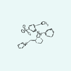 C(/C[n+]1ccccc1)=C1/CCCc2c1cnn2-c1ccccc1.Cc1ccc(S(=O)(=O)[O-])cc1